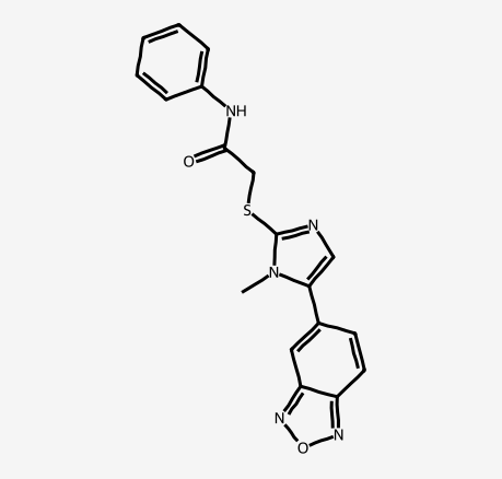 Cn1c(-c2ccc3nonc3c2)cnc1SCC(=O)Nc1ccccc1